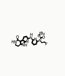 CC(C)(C)OC(=O)N(CCF)c1cccc(Nc2ccc3c4c([nH]c3n2)CCNC4=O)n1